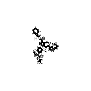 COc1cc2c(cc1-n1nc(C(=O)NCCN3CCCCC3)c3cnc(-c4cnn5cccnc45)cc31)OCCN2C(=O)OC(C)(C)C